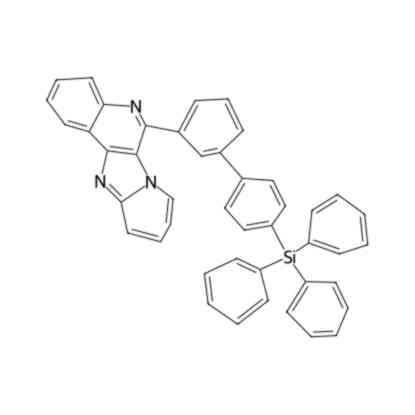 c1ccc([Si](c2ccccc2)(c2ccccc2)c2ccc(-c3cccc(-c4nc5ccccc5c5nc6ccccn6c45)c3)cc2)cc1